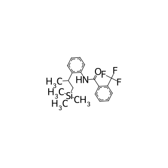 CC(C[Si](C)(C)C)c1ccccc1NC(=O)c1ccccc1C(F)(F)F